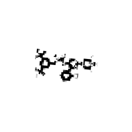 C[C@@H]1CN(c2ncc(OC(=O)N(C)Cc3cc(C(F)(F)F)cc(C(F)(F)F)c3)c(-c3ccccc3Cl)n2)C[C@H](C)N1